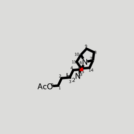 CC(=O)OCCCCCN1C2CCC1CC(N)C2